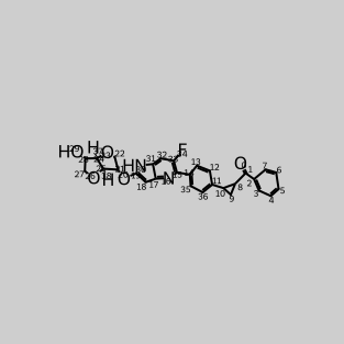 O=C(c1ccccc1)C1CC1c1ccc(-c2nc3cc(O[C@@H]4CO[C@H]5[C@@H]4OC[C@H]5O)[nH]c3cc2F)cc1